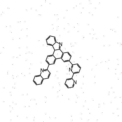 c1ccc(-c2cccc(-c3ccc4c(c3)-c3cc(-c5ccc6ccccc6n5)ccc3C3C4=Nc4ccccc43)n2)nc1